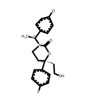 C[C@@H](c1ccc(Cl)cc1)N1CC[C@](CCO)(c2ccc(F)cc2)OC1=O